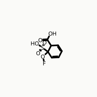 O=C(O)C1C=CC=CC1(OF)S(=O)(=O)O